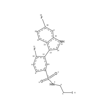 O=S(=O)(NCCI)c1ccc(F)c(-c2c[nH]c3cc(F)ccc23)c1